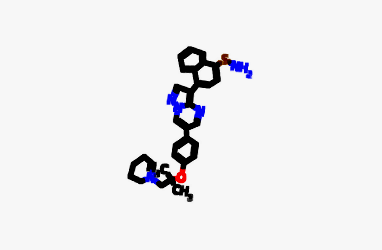 CC(C)(CN1CCCCC1)Oc1ccc(-c2cnc3c(-c4ccc(SN)c5ccccc45)cnn3c2)cc1